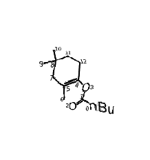 CCCCC(=O)OC1=C(C)CC(C)(C)CC1